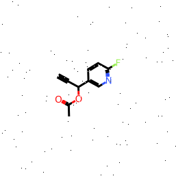 C#CC(OC(C)=O)c1ccc(F)nc1